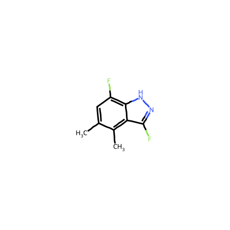 Cc1cc(F)c2[nH]nc(F)c2c1C